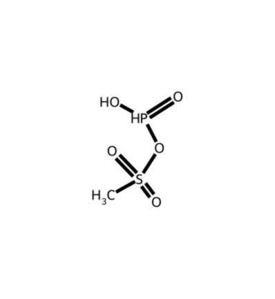 CS(=O)(=O)O[PH](=O)O